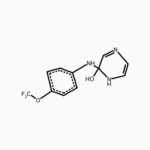 OC1(Nc2ccc(OC(F)(F)F)cc2)C=NC=CN1